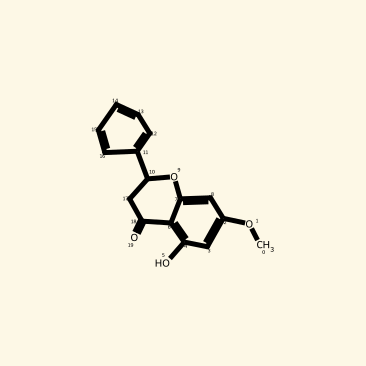 COc1cc(O)c2c(c1)OC(c1ccccc1)CC2=O